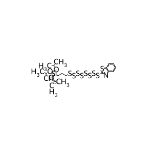 CC(C)O[Si](CCCSSSSSSSSc1nc2ccccc2s1)(OC(C)C)OC(C)C